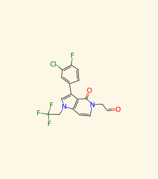 O=CCn1ccc2c(c(-c3ccc(F)c(Cl)c3)cn2CC(F)(F)F)c1=O